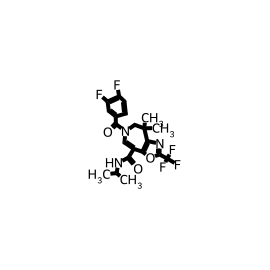 CC(C)NC(=O)C1=CN(C(=O)c2ccc(F)c(F)c2)CC(C)(C)c2nc(C(F)(F)F)oc21